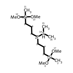 CO[Si](C)(CCCP(CCC[Si](C)(OC)OC)[SH](C)C)OC